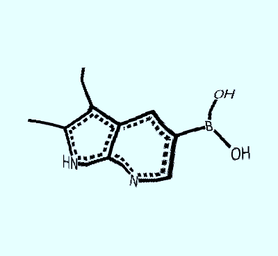 Cc1[nH]c2ncc(B(O)O)cc2c1C